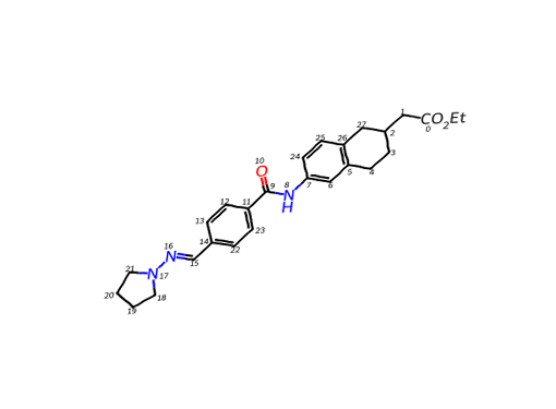 CCOC(=O)CC1CCc2cc(NC(=O)c3ccc(/C=N/N4CCCC4)cc3)ccc2C1